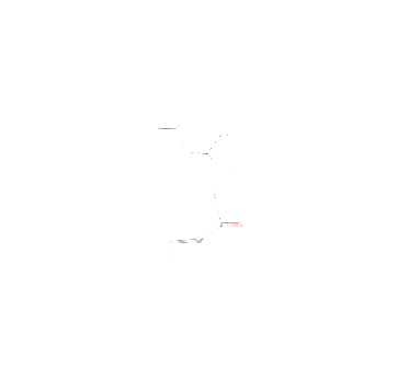 CC=CC(=O)OOC(C)OCC